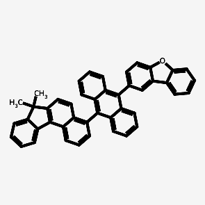 CC1(C)c2ccccc2-c2c1ccc1c(-c3c4ccccc4c(-c4ccc5oc6ccccc6c5c4)c4ccccc34)cccc21